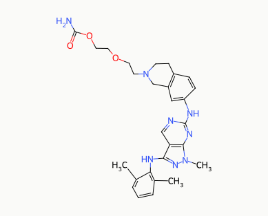 Cc1cccc(C)c1Nc1nn(C)c2nc(Nc3ccc4c(c3)CN(CCOCCOC(N)=O)CC4)ncc12